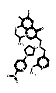 COc1cc(CN(Cc2cn3c4c(c(F)c(F)cc4c2=O)OCC3C)[C@H]2CCN(c3ccc([N+](=O)[O-])nc3)C2)ccn1